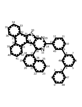 c1ccc(-c2cccc(-c3cccc(-c4nc(-c5cccc6ccccc56)c5c(n4)sc4c6ccccc6c6ccccc6c45)c3)c2)cc1